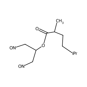 CC(C)CCC(C)C(=O)OC(CN=O)CN=O